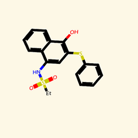 CCS(=O)(=O)Nc1cc(Sc2ccccc2)c(O)c2ccccc12